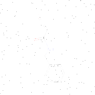 O=C=CC(=O)NCc1ccccc1